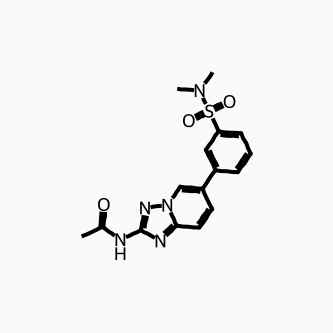 CC(=O)Nc1nc2ccc(-c3cccc(S(=O)(=O)N(C)C)c3)cn2n1